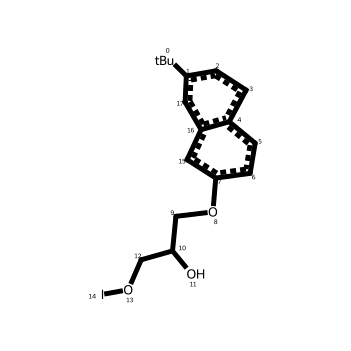 CC(C)(C)c1ccc2ccc(OCC(O)COI)cc2c1